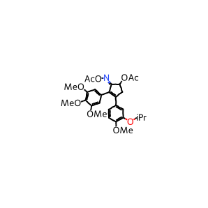 COc1ccc(C2=C(c3cc(OC)c(OC)c(OC)c3)/C(=N\OC(C)=O)C(OC(C)=O)C2)cc1OC(C)C